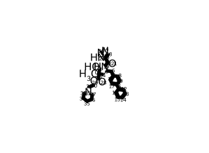 C[C@@](CO)(C[C@@H](Cc1ccc(-c2ccccc2)cc1)NC(=O)c1cnn[nH]1)C(=O)OCCN1CCCCC1